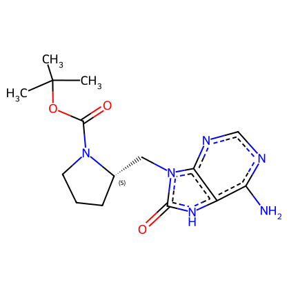 CC(C)(C)OC(=O)N1CCC[C@H]1Cn1c(=O)[nH]c2c(N)ncnc21